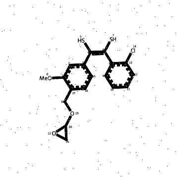 COc1cc(/C(S)=C(/S)c2ccccc2Cl)ccc1COC1CO1